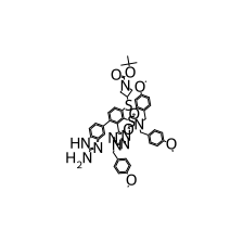 COc1ccc(CN(Cc2ccc(OC)cc2)S(=O)(=O)c2c(SC3CN(C(=O)OC(C)(C)C)C3)ccc(-c3ccc4[nH]c(N)nc4c3)c2-c2nnn(Cc3ccc(OC)cc3)n2)cc1